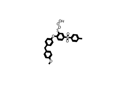 COc1ccc(Cc2ccc(Oc3ccc(S(=O)(=O)c4ccc(C)cc4)cc3SOOO)cc2)cc1